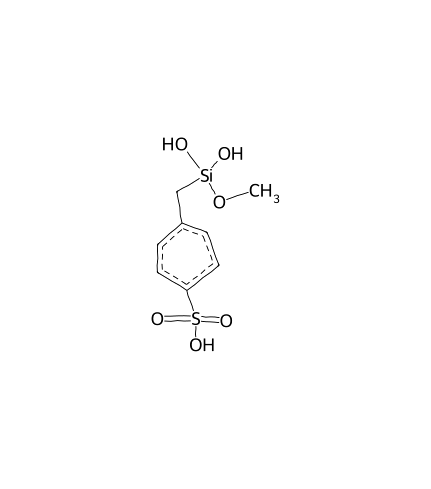 CO[Si](O)(O)Cc1ccc(S(=O)(=O)O)cc1